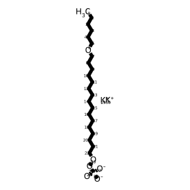 CCCCCCOCCCCCCCCCCCCCCCCOOP(=O)([O-])[O-].[K+].[K+]